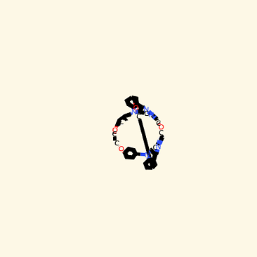 c1cc2c3cc1COCc1ccc4c(c1)c1nc5ncc1n4-c1ccc(cc1)OCCCOc1ccc(cc1)-n2c1cnc(nc31)COC5